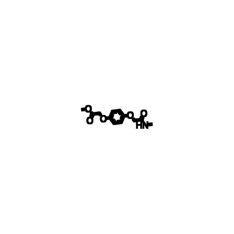 CNC(=O)COc1ccc(OCC(=O)OC)cc1